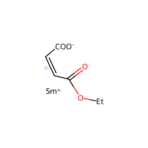 CCOC(=O)/C=C\C(=O)[O-].[Sm+]